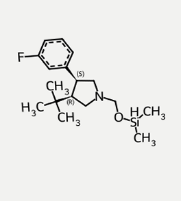 C[SiH](C)OCN1C[C@H](c2cccc(F)c2)[C@H](C(C)(C)C)C1